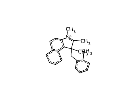 CC1=[N+](C)c2ccc3ccccc3c2C1(C)Cc1ccccc1C